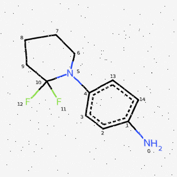 Nc1ccc(N2CCCCC2(F)F)cc1